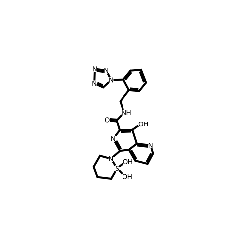 O=C(NCc1ccccc1-n1cnnn1)c1nc(N2CCCCS2(O)O)c2cccnc2c1O